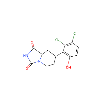 O=C1NC(=O)N2CCC(c3c(O)ccc(Cl)c3Cl)CC12